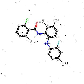 Cc1cccc(Cl)c1C(=O)Nc1c(Nc2ccc(C(=O)O)cc2F)ccc(C#N)c1C